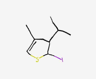 CC1=CSC(I)C1C(C)C